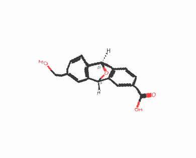 O=C(O)c1ccc2c(c1)[C@H]1O[C@H]2c2ccc(CO)cc21